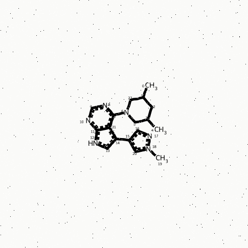 CC1CC(C)CN(c2ncnc3[nH]cc(-c4cnn(C)c4)c23)C1